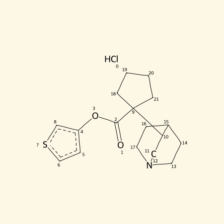 Cl.O=C(Oc1ccsc1)C1(C2CN3CCC2CC3)CCCC1